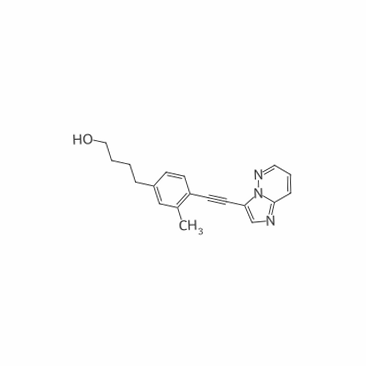 Cc1cc(CCCCO)ccc1C#Cc1cnc2cccnn12